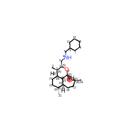 C[C@H]1[C@@H](CNCC2CCCCC2)O[C@@H]2O[C@@]3(C)CC[C@H]4[C@H](C)CC[C@@H]1[C@@]24OO3